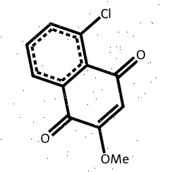 COC1=CC(=O)c2c(Cl)cccc2C1=O